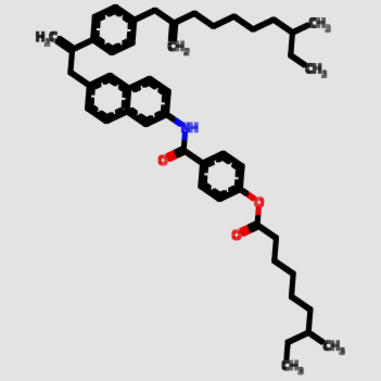 C=C(CCCCCC(C)CC)Cc1ccc(C(=C)Cc2ccc3cc(NC(=O)c4ccc(OC(=O)CCCCCC(C)CC)cc4)ccc3c2)cc1